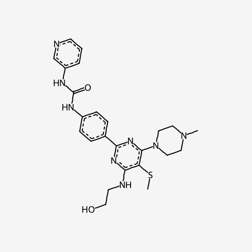 CSc1c(NCCO)nc(-c2ccc(NC(=O)Nc3cccnc3)cc2)nc1N1CCN(C)CC1